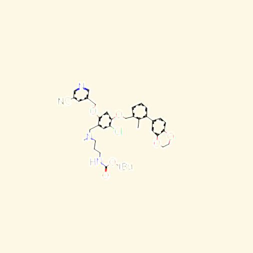 Cc1c(COc2cc(OCc3cncc(C#N)c3)c(CN(C)CCCNC(=O)OC(C)(C)C)cc2Cl)cccc1-c1ccc2c(c1)OCCO2